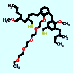 C=CCCC(/C=C(\C=C/Cc1cccc(Cc2cc(CS)cc(CC(=C)/C=C\C)c2OC)c1OCCOCCOCCOCCOCC)CS)=C\OC